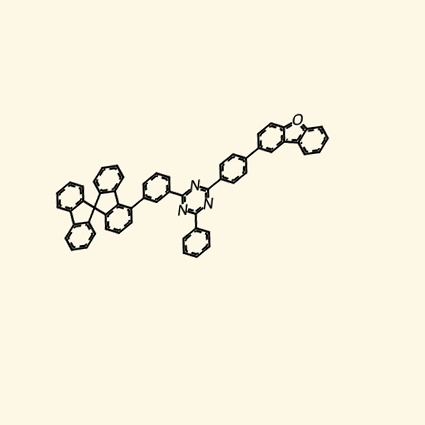 c1ccc(-c2nc(-c3ccc(-c4ccc5oc6ccccc6c5c4)cc3)nc(-c3cccc(-c4cccc5c4-c4ccccc4C54c5ccccc5-c5ccccc54)c3)n2)cc1